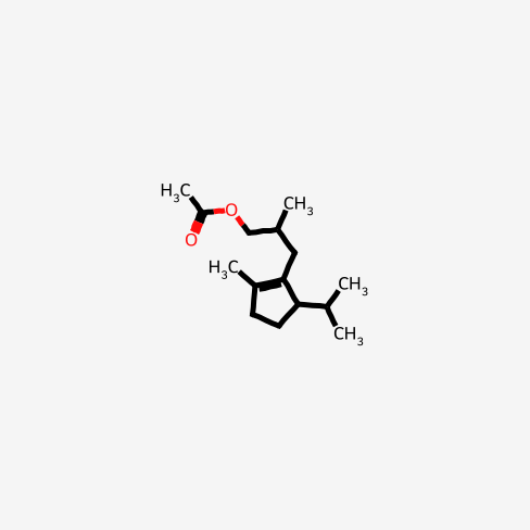 CC(=O)OCC(C)CC1=C(C)CCC1C(C)C